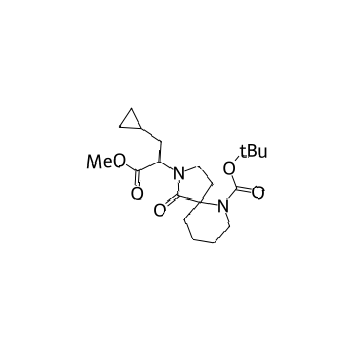 COC(=O)C(CC1CC1)N1CCC2(CCCCN2C(=O)OC(C)(C)C)C1=O